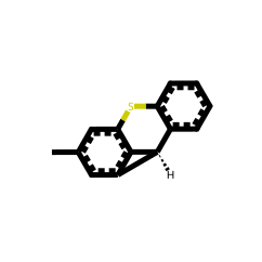 Cc1cc2c3c(c1)[C@@H]3c1ccccc1S2